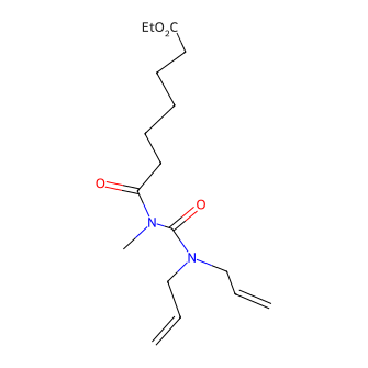 C=CCN(CC=C)C(=O)N(C)C(=O)CCCCCC(=O)OCC